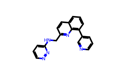 c1cncc(-c2cccc3ccc(CNc4cccnn4)nc23)c1